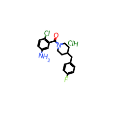 Cl.Nc1ccc(Cl)c(C(=O)N2CCC(Cc3ccc(F)cc3)CC2)c1